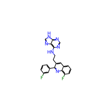 Fc1cccc(-c2nc3c(F)cccc3cc2CCNc2ncnc3[nH]cnc23)c1